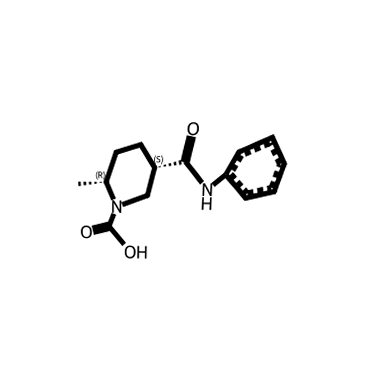 C[C@@H]1CC[C@H](C(=O)Nc2ccccc2)CN1C(=O)O